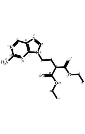 CCOC(=O)C(CCn1cnc2cnc(N)nc21)C(=O)OCC